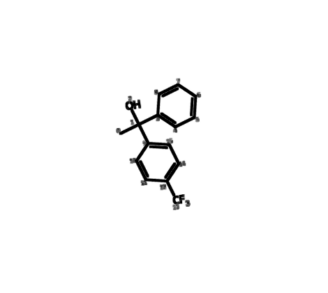 CC(O)(c1ccccc1)c1ccc(C(F)(F)F)cc1